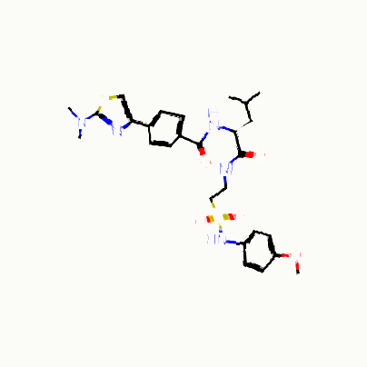 COc1ccc(NS(=O)(=O)CCNC(=O)[C@H](CC(C)C)NC(=O)c2ccc(-c3csc(N(C)C)n3)cc2)cc1